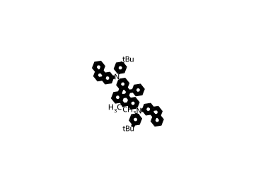 CC(C)(C)c1ccc(N(c2ccc3c(c2)C(C)(C)c2cccc4c2c-3c(-c2ccccc2)c2ccc(N(c3ccc(C(C)(C)C)cc3)c3ccc5ccc6ccccc6c5c3)cc24)c2ccc3ccc4ccccc4c3c2)cc1